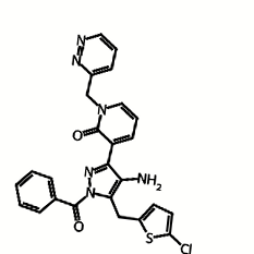 Nc1c(-c2cccn(Cc3cccnn3)c2=O)nn(C(=O)c2ccccc2)c1Cc1ccc(Cl)s1